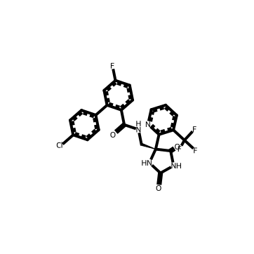 O=C1NC(=O)[C@@](CNC(=O)c2ccc(F)cc2-c2ccc(Cl)cc2)(c2ncccc2C(F)(F)F)N1